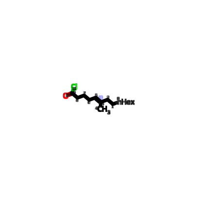 CCCCCCCC/C(C)=C/CCCC(=O)Cl